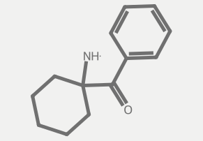 [NH]C1(C(=O)c2ccccc2)CCCCC1